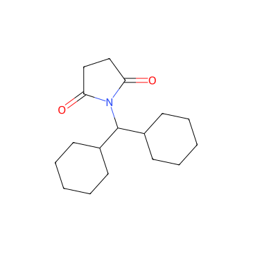 O=C1CCC(=O)N1C(C1CCCCC1)C1CCCCC1